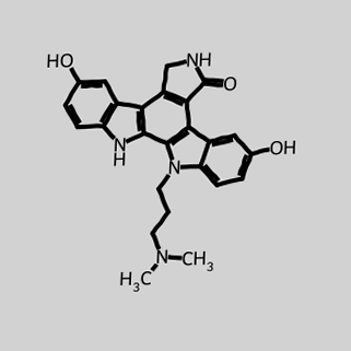 CN(C)CCCn1c2ccc(O)cc2c2c3c(c4c5cc(O)ccc5[nH]c4c21)CNC3=O